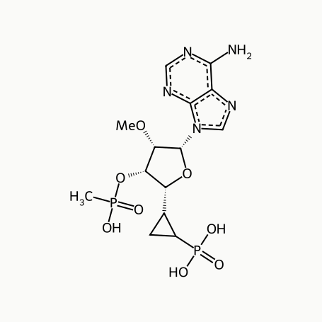 CO[C@H]1[C@@H](OP(C)(=O)O)[C@@H](C2CC2P(=O)(O)O)O[C@H]1n1cnc2c(N)ncnc21